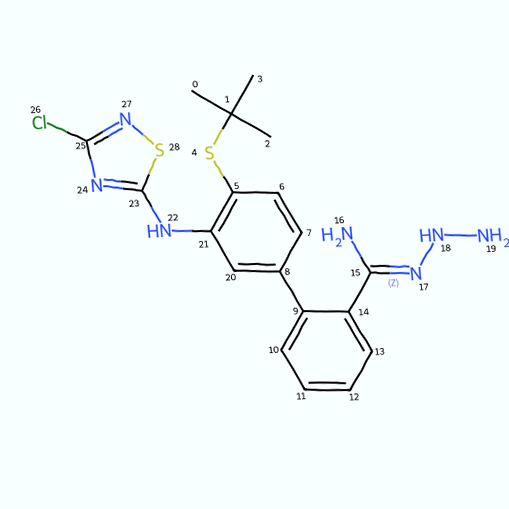 CC(C)(C)Sc1ccc(-c2ccccc2/C(N)=N/NN)cc1Nc1nc(Cl)ns1